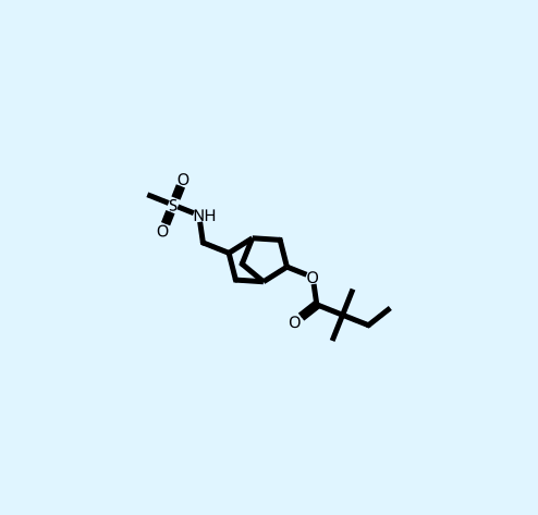 CCC(C)(C)C(=O)OC1CC2CC1CC2CNS(C)(=O)=O